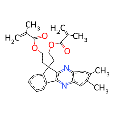 C=C(C)C(=O)OCCC1(CCOC(=O)C(=C)C)c2ccccc2-c2nc3cc(C)c(C)cc3nc21